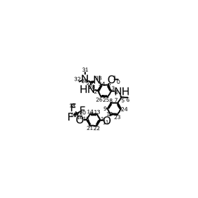 COc1c(NC(C)c2ccc(Oc3ccc(OC(F)(F)F)cc3)cc2)ccc2[nH]c(N(C)C)nc12